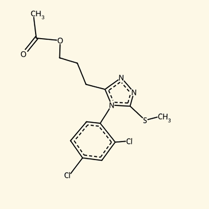 CSc1nnc(CCCOC(C)=O)n1-c1ccc(Cl)cc1Cl